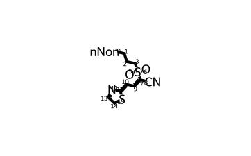 CCCCCCCCCCCCS(=O)(=O)C(C#N)=CC=C1N=CCS1